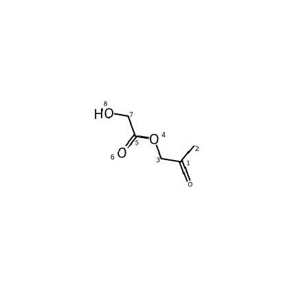 C=C(C)COC(=O)CO